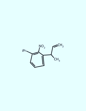 C=C[C](C)c1cccc(C(C)C)c1[N+](=O)[O-]